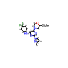 COC1CN(c2cc(NC3CCC(F)(F)CC3)nc(-n3ccc(C)n3)n2)CCO1